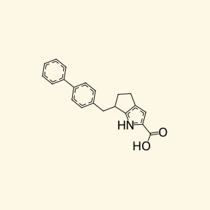 O=C(O)c1cc2c([nH]1)C(Cc1ccc(-c3ccccc3)cc1)CC2